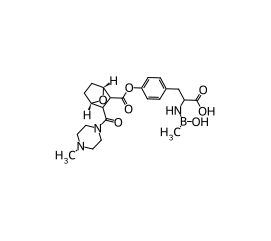 CB(O)NC(Cc1ccc(OC(=O)C2C(C(=O)N3CCN(C)CC3)[C@@H]3CC[C@H]2O3)cc1)C(=O)O